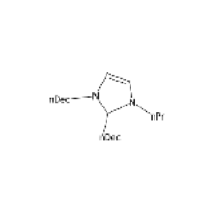 CCCCCCCCCCC1N(CCC)C=CN1CCCCCCCCCC